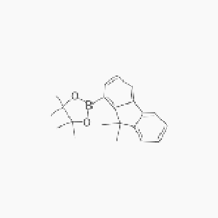 CC1(C)c2ccccc2-c2cccc(B3OC(C)(C)C(C)(C)O3)c21